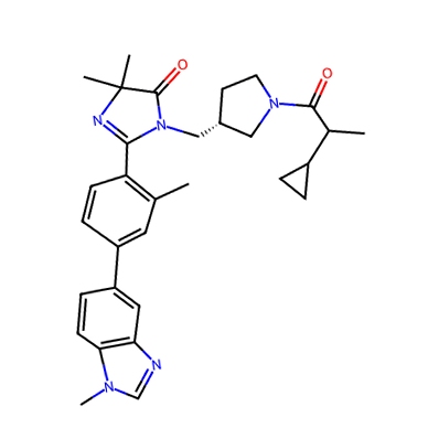 Cc1cc(-c2ccc3c(c2)ncn3C)ccc1C1=NC(C)(C)C(=O)N1C[C@@H]1CCN(C(=O)C(C)C2CC2)C1